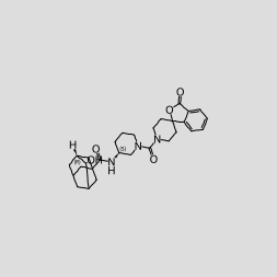 O=C1OC2(CCN(C(=O)N3CCC[C@H](NC(=O)C45CC6CC(C4)C(O)[C@H](C6)C5)C3)CC2)c2ccccc21